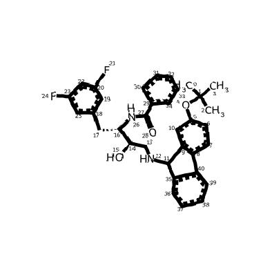 CC(C)(C)Oc1ccc2c(c1)C(NC[C@@H](O)[C@H](Cc1cc(F)cc(F)c1)NC(=O)c1ccccc1)c1ccccc1-2